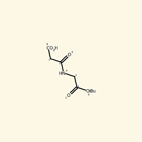 CC(C)COC(=O)CNC(=O)CC(=O)O